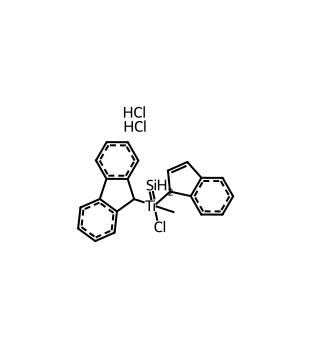 Cl.Cl.[CH3][Ti](=[SiH2])([Cl])([CH]1C=Cc2ccccc21)[CH]1c2ccccc2-c2ccccc21